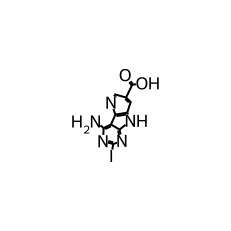 Nc1nc(I)nc2[nH]c3cc(C(=O)O)cnc3c12